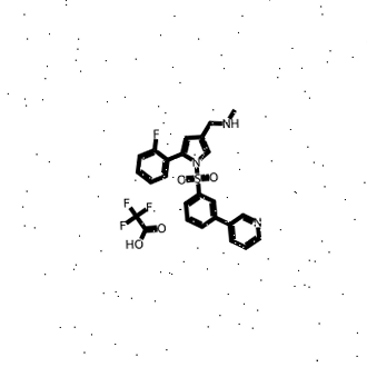 CNCc1cc(-c2ccccc2F)n(S(=O)(=O)c2cccc(-c3cccnc3)c2)c1.O=C(O)C(F)(F)F